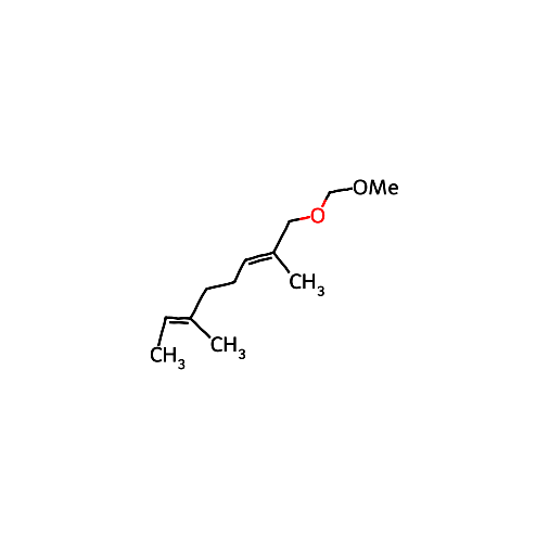 C/C=C(\C)CC/C=C(\C)COCOC